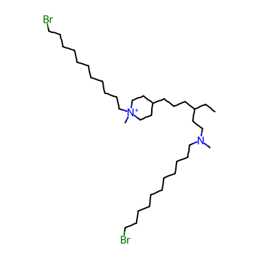 CCC(CCCC1CC[N+](C)(CCCCCCCCCCCBr)CC1)CCN(C)CCCCCCCCCCCBr